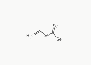 C=C[Se]C(=[Se])[SeH]